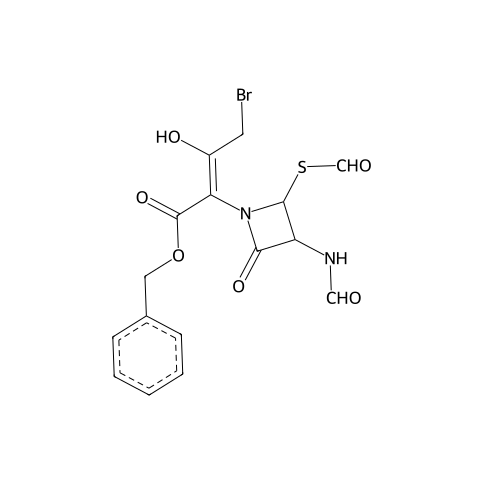 O=CNC1C(=O)N(/C(C(=O)OCc2ccccc2)=C(/O)CBr)C1SC=O